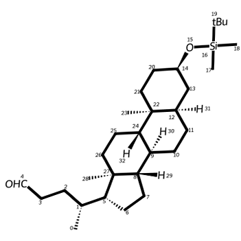 C[C@H](CCC=O)[C@H]1CC[C@H]2[C@@H]3CC[C@@H]4C[C@H](O[Si](C)(C)C(C)(C)C)CC[C@]4(C)[C@H]3CC[C@]12C